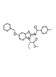 CCC(C(=O)OC)n1/c(=N/C(=O)c2ccc(C)cc2)sc2cc(OCc3ccccc3)ccc21